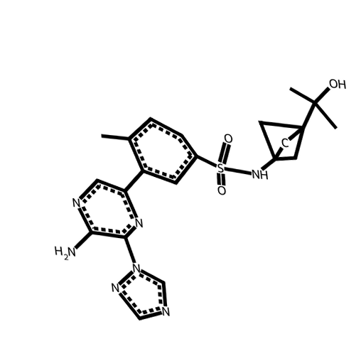 Cc1ccc(S(=O)(=O)NC23CC(C(C)(C)O)(C2)C3)cc1-c1cnc(N)c(-n2cncn2)n1